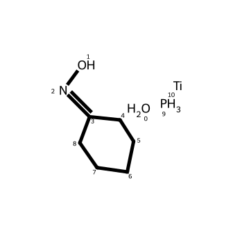 O.ON=C1CCCCC1.P.[Ti]